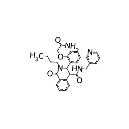 CCCCN1C(=O)c2ccccc2C(C(=O)NCc2cccnc2)C1c1ccccc1OCC(N)=O